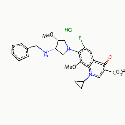 COc1c(N2C[C@H](NCc3ccccc3)[C@H](OC)C2)c(F)cc2c(=O)c(C(=O)O)cn(C3CC3)c12.Cl